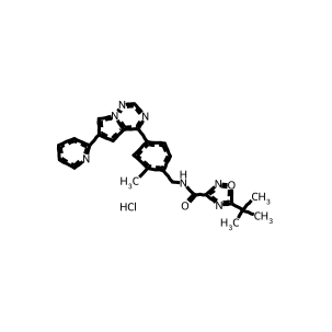 Cc1cc(-c2ncnn3cc(-c4ccccn4)cc23)ccc1CNC(=O)c1noc(C(C)(C)C)n1.Cl